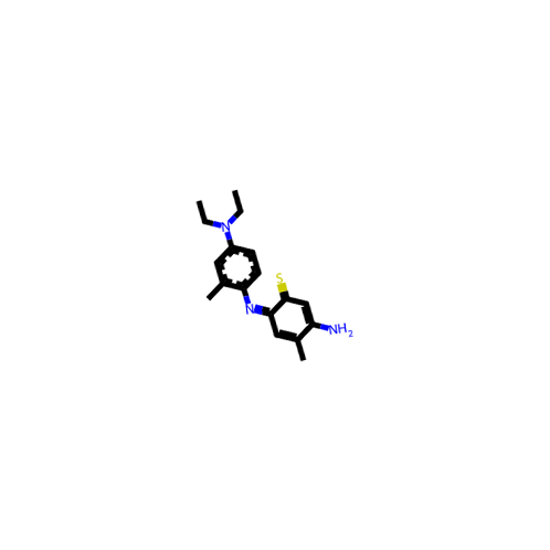 CCN(CC)c1ccc(/N=C2/C=C(C)C(N)=CC2=S)c(C)c1